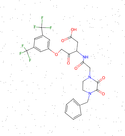 O=C(O)CC(NC(=O)CN1CCN(Cc2ccccc2)C(=O)C1=O)C(=O)COc1cc(C(F)(F)F)cc(C(F)(F)F)c1